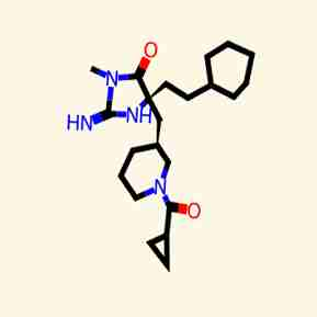 CN1C(=N)N[C@@](CCC2CCCCC2)(C[C@@H]2CCCN(C(=O)C3CC3)C2)C1=O